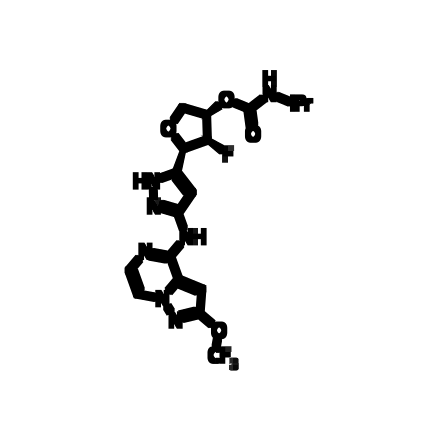 CC(C)NC(=O)O[C@@H]1CO[C@H](c2cc(Nc3nccn4nc(OC(F)(F)F)cc34)n[nH]2)[C@@H]1F